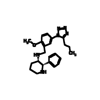 CCCc1nnnn1-c1ccc(OC)c(CN[C@H]2CCCN[C@H]2c2ccccc2)c1